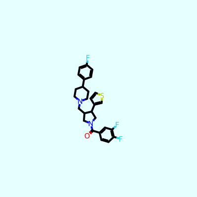 O=C(c1ccc(F)c(F)c1)N1CC(CN2CCC(c3ccc(F)cc3)CC2)C(c2ccsc2)C1